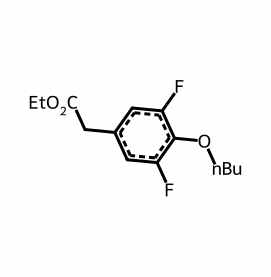 CCCCOc1c(F)cc(CC(=O)OCC)cc1F